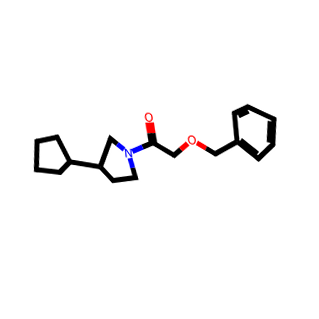 O=C(COCc1ccccc1)N1CCC(C2CCCC2)C1